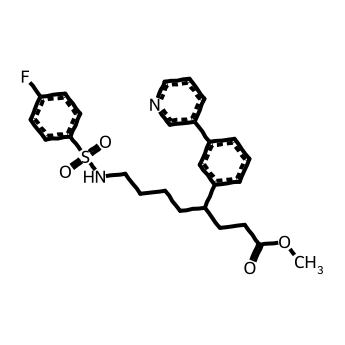 COC(=O)CCC(CCCCNS(=O)(=O)c1ccc(F)cc1)c1cccc(-c2cccnc2)c1